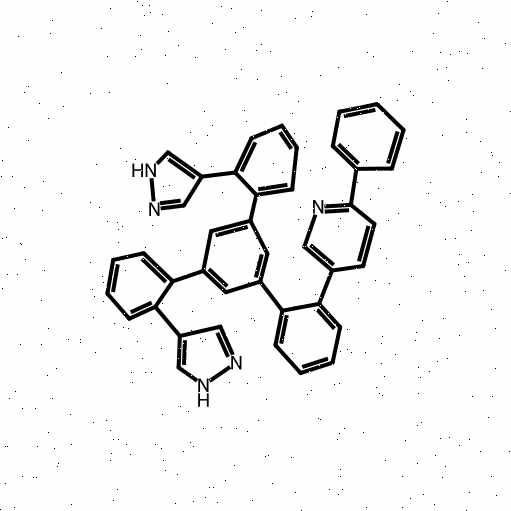 c1ccc(-c2ccc(-c3ccccc3-c3cc(-c4ccccc4-c4cn[nH]c4)cc(-c4ccccc4-c4cn[nH]c4)c3)cn2)cc1